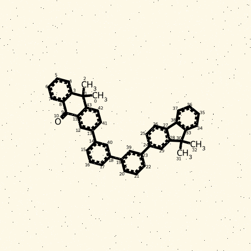 CC1(C)c2ccccc2C(=O)c2cc(-c3cccc(-c4cccc(-c5ccc6c(c5)C(C)(C)c5ccccc5-6)c4)c3)ccc21